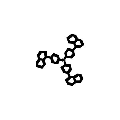 C1=CC(N(c2ccc(-c3cccc4ccccc34)cc2)c2ccc(-c3cccc4ccccc34)cc2)CC=C1c1cccc2ccccc12